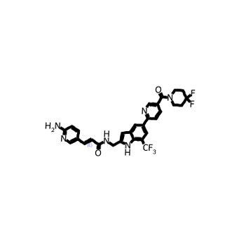 Nc1ccc(/C=C/C(=O)NCc2cc3cc(-c4ccc(C(=O)N5CCC(F)(F)CC5)cn4)cc(C(F)(F)F)c3[nH]2)cn1